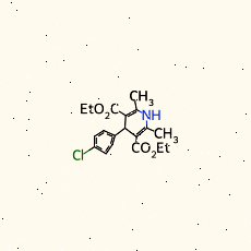 CCOC(=O)C1=C(C)NC(C)=C(C(=O)OCC)C1c1ccc(Cl)cc1